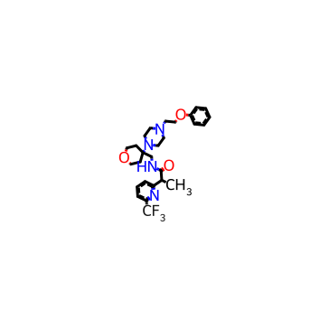 CC(C(=O)NCC1(N2CCN(CCOc3ccccc3)CC2)CCOCC1)c1cccc(C(F)(F)F)n1